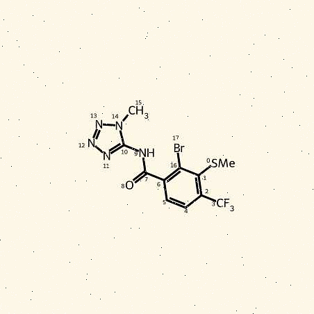 CSc1c(C(F)(F)F)ccc(C(=O)Nc2nnnn2C)c1Br